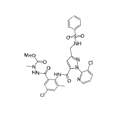 COC(=O)N(C)NC(=O)c1cc(Cl)cc(C)c1NC(=O)c1cc(CNS(=O)(=O)c2ccccc2)nn1-c1ncccc1Cl